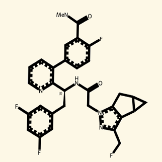 CNC(=O)c1cc(-c2cccnc2[C@H](Cc2cc(F)cc(F)c2)NC(=O)Cn2nc(CF)c3c2CC2CC32)ccc1F